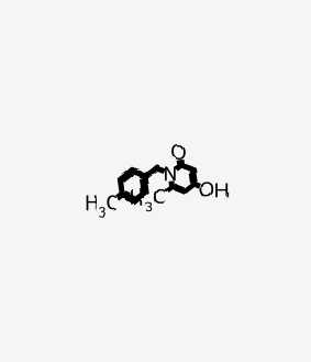 Cc1ccc(Cn2c(C)cc(O)cc2=O)cc1